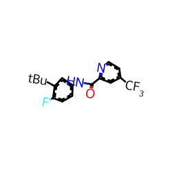 CC(C)(C)c1cc(NC(=O)c2cc(C(F)(F)F)ccn2)ccc1F